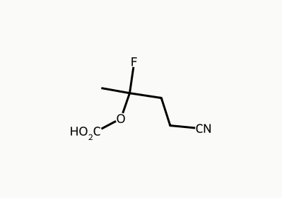 CC(F)(CCC#N)OC(=O)O